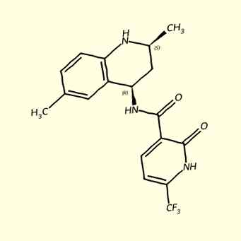 Cc1ccc2c(c1)[C@H](NC(=O)c1ccc(C(F)(F)F)[nH]c1=O)C[C@H](C)N2